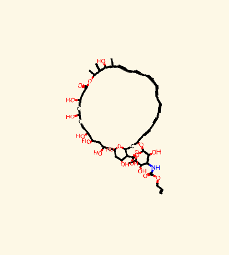 C=CCOC(=O)NC1C(O)C(C)OC(OC2/C=C/C=C/C=C/C=C/C=C/C=C/C=C/C(C)C(O)C(C)C(C)OC(=O)CC(O)CC(O)CCC(O)C(O)CC(O)CC3(O)CC(O)C(C(=O)O)C(C2)O3)C1O